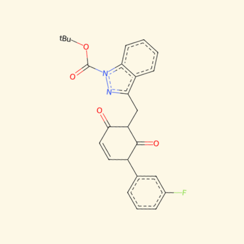 CC(C)(C)OC(=O)n1nc(CC2C(=O)C=CC(c3cccc(F)c3)C2=O)c2ccccc21